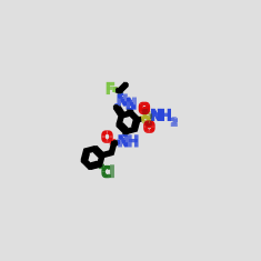 CC(F)n1cc2cc(NC(=O)Cc3ccccc3Cl)cc(S(N)(=O)=O)c2n1